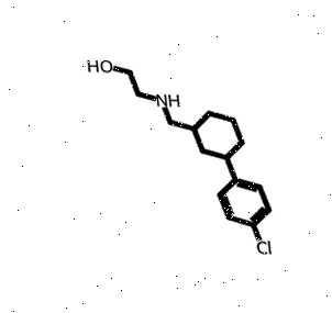 OCCNCC1CCCC(c2ccc(Cl)cc2)C1